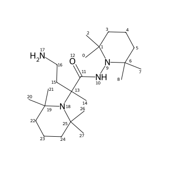 CC1(C)CCCC(C)(C)N1NC(=O)C(C)(CCN)N1C(C)(C)CCCC1(C)C